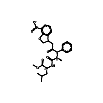 COC(=O)[C@H](CC(C)C)NC(=O)[C@H](C)N(C(=O)CC1COc2c1cccc2[N+](=O)[O-])c1ccccc1